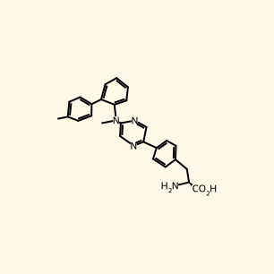 Cc1ccc(-c2ccccc2N(C)c2cnc(-c3ccc(C[C@H](N)C(=O)O)cc3)cn2)cc1